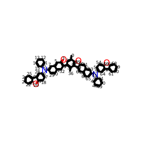 Cc1c2oc3cc4cc(N(c5ccccc5)c5ccc6oc7ccccc7c6c5)ccc4cc3c2c(C)c2c1oc1cc3cc(N(c4ccccc4)c4ccc5oc6ccccc6c5c4)ccc3cc12